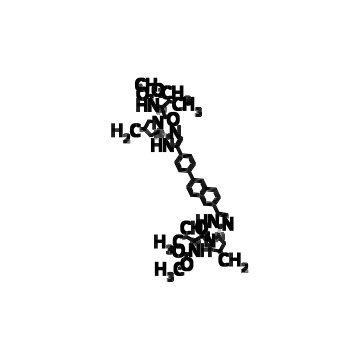 C=C1C[C@@H](c2ncc(-c3ccc(-c4ccc5cc(-c6cnc([C@@H]7CC(=C)CN7C(=O)[C@@H](NC(=O)OC)C(C)C)[nH]6)ccc5c4)cc3)[nH]2)N(C(=O)[C@@H](NC(=O)OC)C(C)C)C1